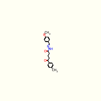 COc1ccc(C=NNC(=O)CCCC(=O)c2ccc(C)cc2)cc1